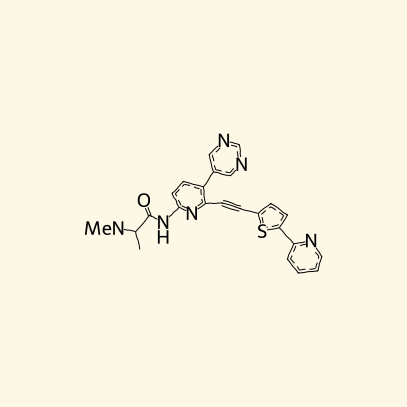 CNC(C)C(=O)Nc1ccc(-c2cncnc2)c(C#Cc2ccc(-c3ccccn3)s2)n1